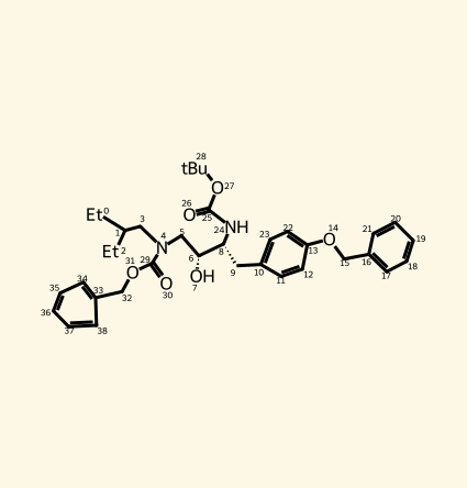 CCC(CC)CN(C[C@@H](O)[C@@H](Cc1ccc(OCc2ccccc2)cc1)NC(=O)OC(C)(C)C)C(=O)OCc1ccccc1